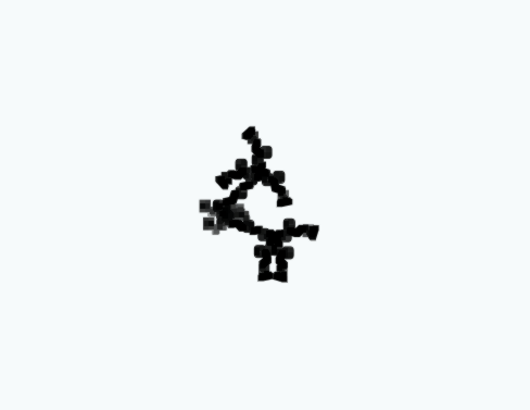 C[Si](C)(CCCOCCOCC(COC(=O)CCN1CC1)(COC(=O)CCN1CC1)COC(=O)CCN1CC1)O[Si](C)(C)CCCOCCOCC(COC(=O)CCN1CC1)(COC(=O)CCN1CC1)COC(=O)CCN1CC1